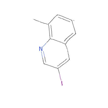 Cc1c[c]cc2cc(I)cnc12